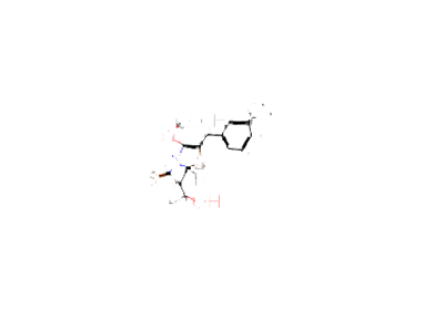 CC[C@H](O)[C@H]1C(=S)N2C(OC(=O)O)=C(Cc3cccc(C#N)c3)S[C@H]12